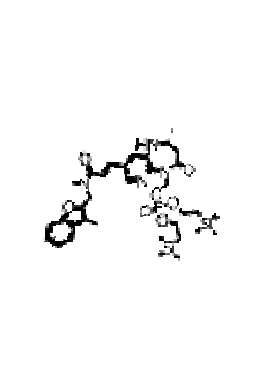 Cc1c(CN(C)C(=O)/C=C/c2cnc3c(c2)N[C@H](C)CC(=O)N3COP(=O)(OCC[Si](C)(C)C)OCC[Si](C)(C)C)oc2ccccc12